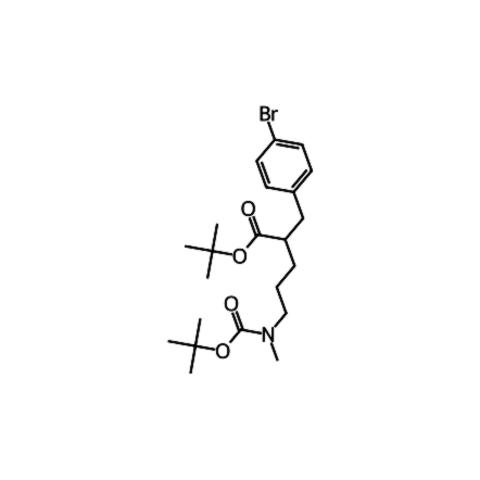 CN(CCCC(Cc1ccc(Br)cc1)C(=O)OC(C)(C)C)C(=O)OC(C)(C)C